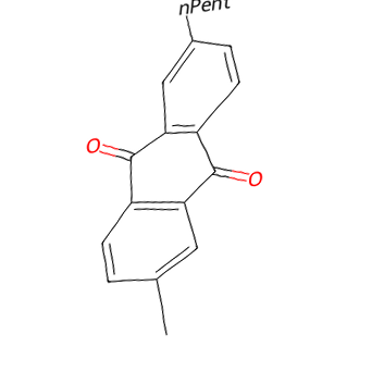 CCCCCc1ccc2c(c1)C(=O)c1ccc(C)cc1C2=O